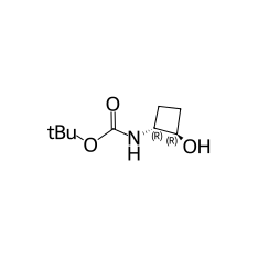 CC(C)(C)OC(=O)N[C@@H]1CC[C@H]1O